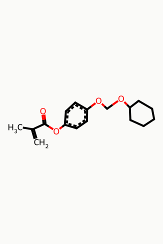 C=C(C)C(=O)Oc1ccc(OCOC2CCCCC2)cc1